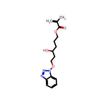 C=C(C)C(=O)OCCCC(O)CCOn1nnc2ccccc21